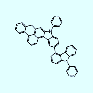 c1ccc(-n2c3ccccc3c3c(-c4ccc5c(c4)c4c6cccc7c6c(cc4n5-c4ccccc4)Cc4ccccc4-7)cccc32)cc1